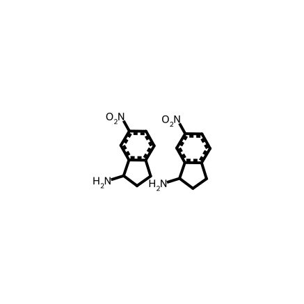 NC1CCc2ccc([N+](=O)[O-])cc21.NC1CCc2ccc([N+](=O)[O-])cc21